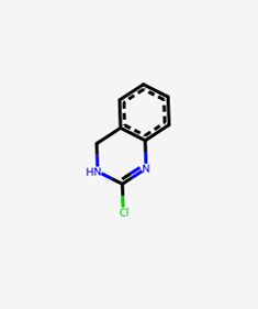 ClC1=Nc2ccccc2CN1